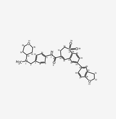 CN(Cc1ccc(NC(=O)C2=Cc3cc(-c4ccc5c(c4)CCO5)ccc3S(=O)(=O)CC2)cc1)C1CCOCC1